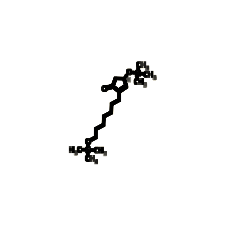 C[Si](C)(C)OCCCCCCCC1=C[C@H](O[Si](C)(C)C)CC1=O